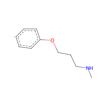 CNCCCOc1cc[c]cc1